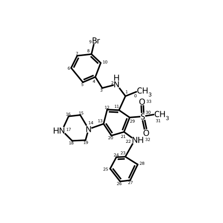 CC(NCc1cccc(Br)c1)c1cc(N2CCNCC2)cc(Nc2ccccc2)c1S(C)(=O)=O